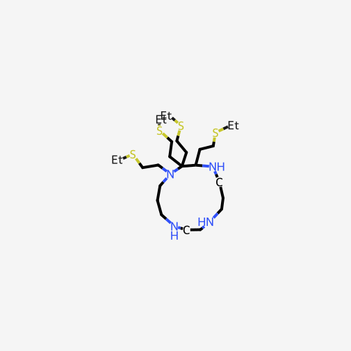 CCSCCC1NCCCNCCNCCCN(CCSCC)C1(CCSCC)CCSCC